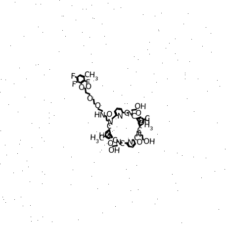 Cc1cc2c(O)c(c1)CN(CC(=O)O)Cc1cccc(n1)CN(CC(=O)NCCOCCOCCC(=O)Oc1c(F)c(C)cc(F)c1F)Cc1cc(C)cc(c1O)CN(CC(=O)O)Cc1cccc(n1)CN(CC(=O)O)C2